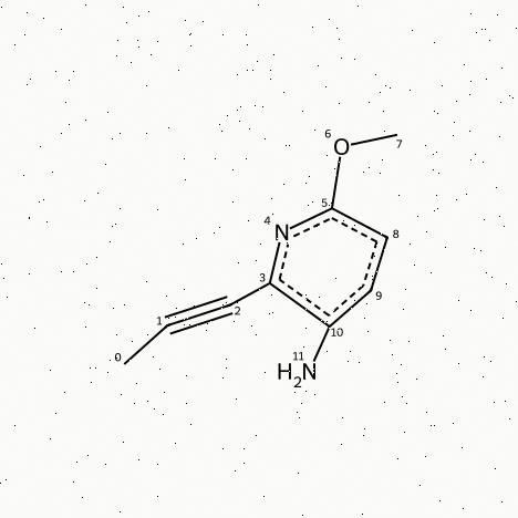 CC#Cc1nc(OC)ccc1N